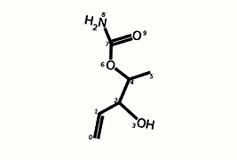 C=CC(O)C(C)OC(N)=O